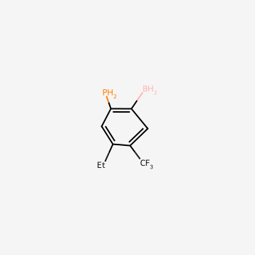 Bc1cc(C(F)(F)F)c(CC)cc1P